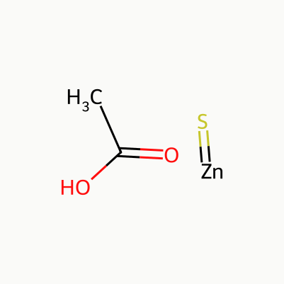 CC(=O)O.[S]=[Zn]